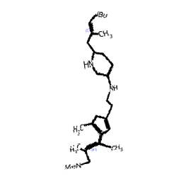 CCC(C)/C=C(\C)CC1CCC(NCCC2=CC(/C(C)=C(\C)CNC)=C(C)C2)CN1